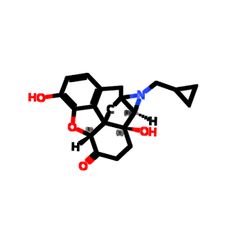 O=C1CC[C@@]2(O)[C@@H]3N(CC4CC4)C34Cc3ccc(O)c5c3C2(C4)[C@H]1O5